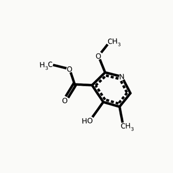 COC(=O)c1c(OC)ncc(C)c1O